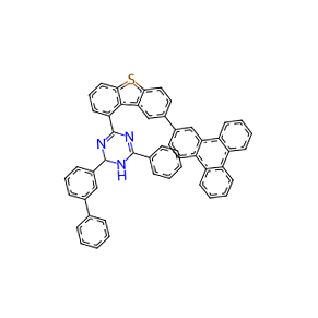 c1ccc(C2=NC(c3cccc4sc5ccc(-c6ccc7c8ccccc8c8ccccc8c7c6)cc5c34)=NC(c3cccc(-c4ccccc4)c3)N2)cc1